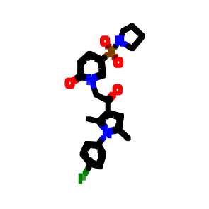 Cc1cc(C(=O)Cn2cc(S(=O)(=O)N3CCCC3)ccc2=O)c(C)n1-c1ccc(F)cc1